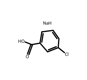 O=C(O)c1cccc(Cl)c1.[NaH]